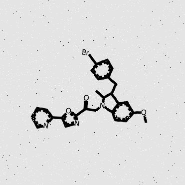 COc1ccc2c(c1)C(Cc1ccc(Br)cc1)C(C)N2CC(=O)c1ncc(-c2ccccn2)o1